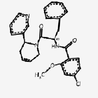 COc1cc(Cl)ccc1C(=O)N[C@H](Cc1ccccc1)C(=O)N1CC=CCC1c1cccnc1